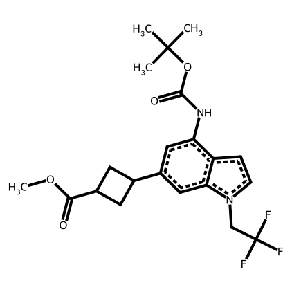 COC(=O)C1CC(c2cc(NC(=O)OC(C)(C)C)c3ccn(CC(F)(F)F)c3c2)C1